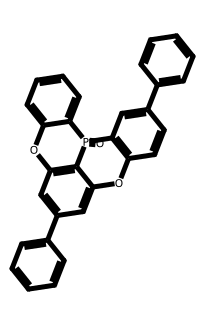 O=P12c3ccccc3Oc3cc(-c4ccccc4)cc(c31)Oc1ccc(-c3ccccc3)cc12